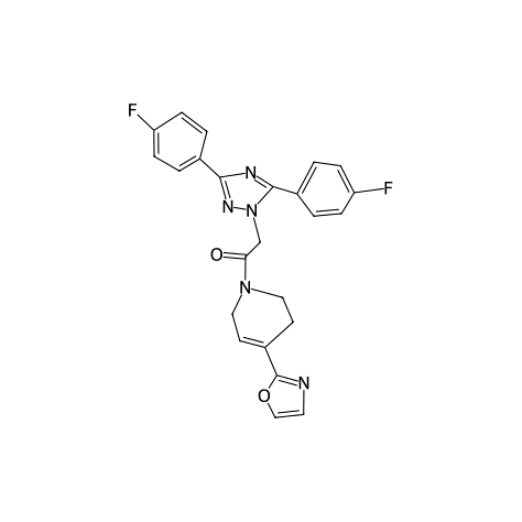 O=C(Cn1nc(-c2ccc(F)cc2)nc1-c1ccc(F)cc1)N1CC=C(c2ncco2)CC1